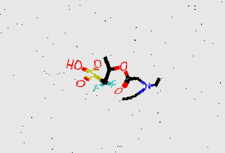 CCN(CC)CC(=O)OC(C)C(F)(F)S(=O)(=O)O